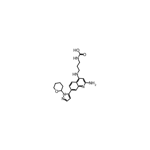 Nc1cc(NCCCNC(=O)O)c2ccc(-c3ccnn3C3CCCCO3)cc2n1